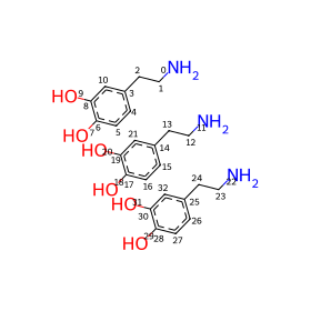 NCCc1ccc(O)c(O)c1.NCCc1ccc(O)c(O)c1.NCCc1ccc(O)c(O)c1